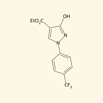 CCOC(=O)c1cn(-c2ccc(C(F)(F)F)cc2)nc1O